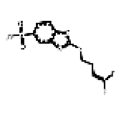 NS(=O)(=O)c1ccc2oc(SCCC=C(F)F)nc2c1